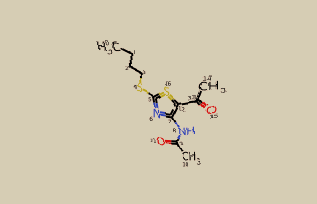 CCCCSc1nc(NC(C)=O)c(C(C)=O)s1